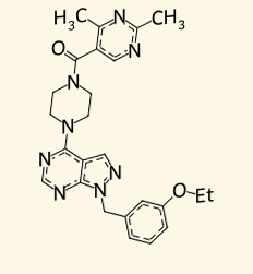 CCOc1cccc(Cn2ncc3c(N4CCN(C(=O)c5cnc(C)nc5C)CC4)ncnc32)c1